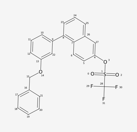 O=S(=O)(Oc1ccc2c(-c3cccc(OCc4ccccc4)c3)cccc2c1)C(F)(F)F